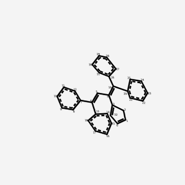 C1=CCC(C(C=C(c2ccccc2)c2ccccc2)=C(c2ccccc2)c2ccccc2)=C1